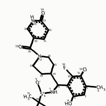 Cc1cc(O)c(C(N[S+]([O-])C(C)(C)C)C2CCN(C(=O)c3ccc(=O)[nH]c3)CC2)c(F)c1Cl